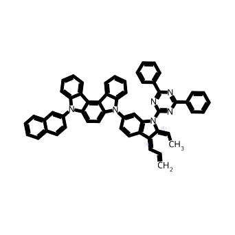 C=C/C=c1\c(=C/C)n(-c2nc(-c3ccccc3)nc(-c3ccccc3)n2)c2cc(-n3c4ccccc4c4c5c6ccccc6n(-c6ccc7ccccc7c6)c5ccc43)ccc12